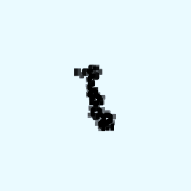 CN(C)C(=O)COCc1cc2nc(N3CCOC(c4cccc5[nH]ncc45)C3)ncc2s1